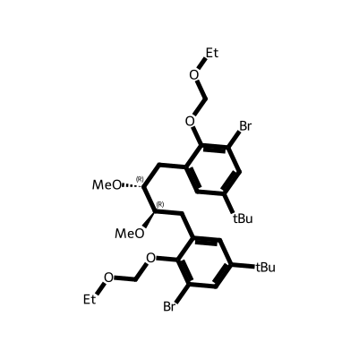 CCOCOc1c(Br)cc(C(C)(C)C)cc1C[C@@H](OC)[C@@H](Cc1cc(C(C)(C)C)cc(Br)c1OCOCC)OC